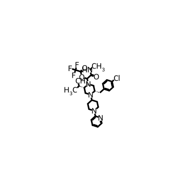 CNC(=O)C(OC(=O)C(F)(F)F)N1C[C@H](Cc2ccc(Cl)cc2)N(C2CCN(c3ccccn3)CC2)C[C@@H]1C(C)C